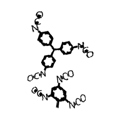 Cc1c(N=C=O)cc(N=C=O)cc1N=C=O.O=C=Nc1ccc(C(c2ccc(N=C=O)cc2)c2ccc(N=C=O)cc2)cc1